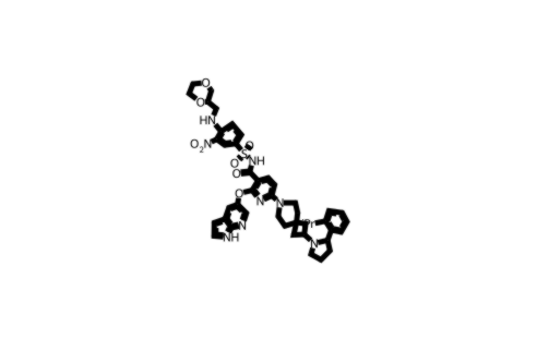 CC(C)c1ccccc1C1CCCN1C1CC2(CCN(c3ccc(C(=O)NS(=O)(=O)c4ccc(NCC5COCCO5)c([N+](=O)[O-])c4)c(Oc4cnc5[nH]ccc5c4)n3)CC2)C1